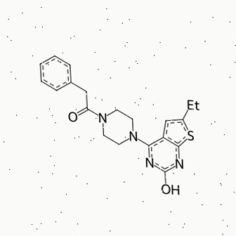 CCc1cc2c(N3CCN(C(=O)Cc4ccccc4)CC3)nc(O)nc2s1